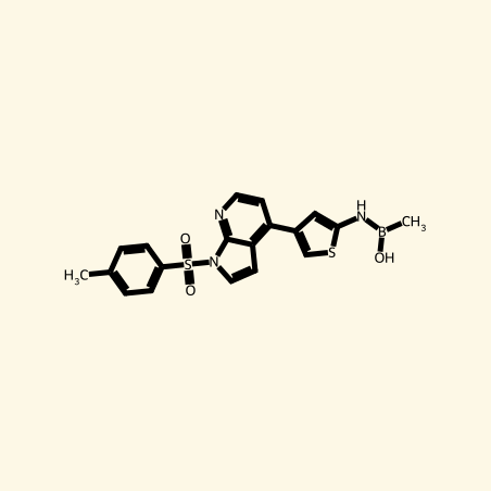 CB(O)Nc1cc(-c2ccnc3c2ccn3S(=O)(=O)c2ccc(C)cc2)cs1